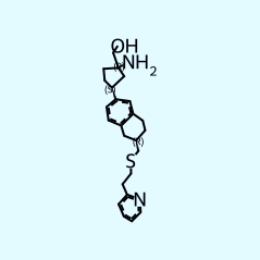 N[C@]1(CO)CC[C@H](c2ccc3c(c2)CC[C@@H](CSCCc2ccccn2)C3)C1